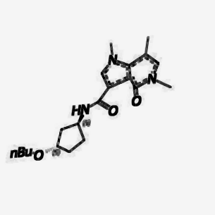 CCCCO[C@H]1CC[C@H](NC(=O)c2cn(C)c3c(C)cn(C)c(=O)c23)C1